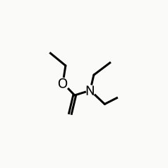 C=C(OCC)N(CC)CC